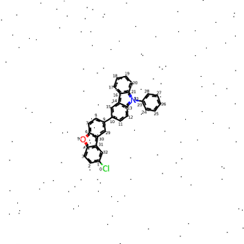 Clc1ccc2oc3ccc(-c4ccc5c(c4)c4ccccc4n5-c4ccccc4)cc3c2c1